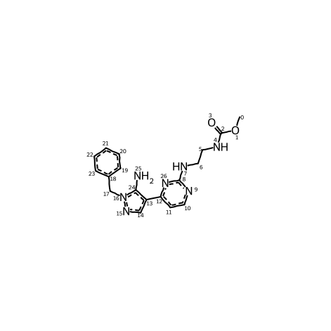 COC(=O)NCCNc1nccc(-c2cnn(Cc3ccccc3)c2N)n1